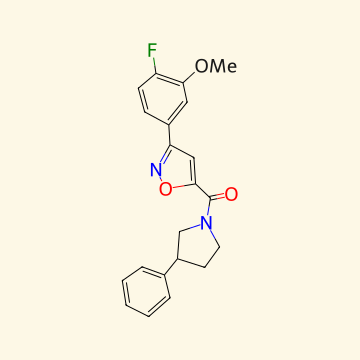 COc1cc(-c2cc(C(=O)N3CCC(c4ccccc4)C3)on2)ccc1F